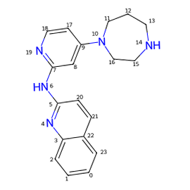 c1ccc2nc(Nc3cc(N4CCCNCC4)ccn3)ccc2c1